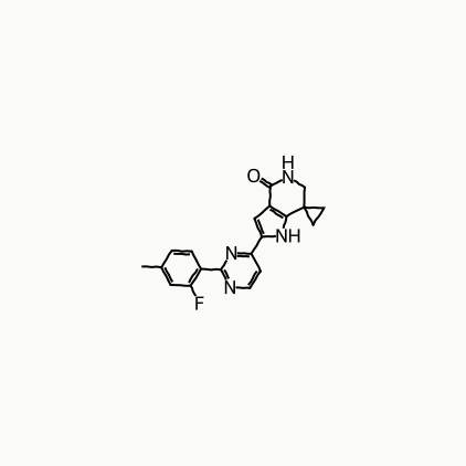 Cc1ccc(-c2nccc(-c3cc4c([nH]3)C3(CC3)CNC4=O)n2)c(F)c1